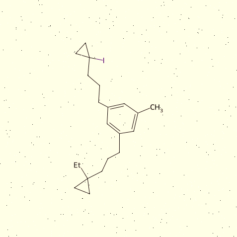 CCC1(CCCc2cc(C)cc(CCCC3(I)CC3)c2)CC1